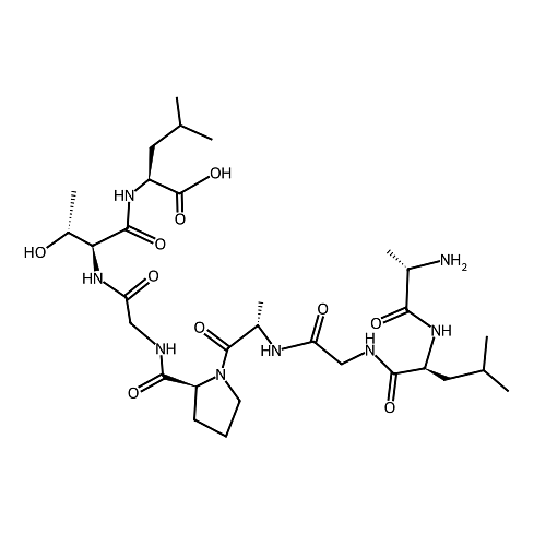 CC(C)C[C@H](NC(=O)[C@@H](NC(=O)CNC(=O)[C@@H]1CCCN1C(=O)[C@H](C)NC(=O)CNC(=O)[C@H](CC(C)C)NC(=O)[C@H](C)N)[C@@H](C)O)C(=O)O